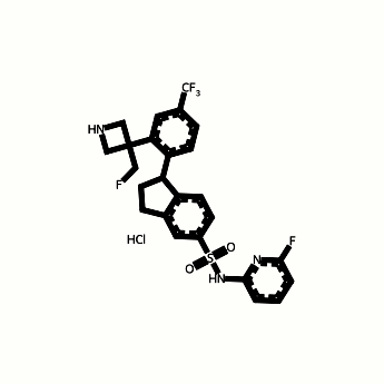 Cl.O=S(=O)(Nc1cccc(F)n1)c1ccc2c(c1)CCC2c1ccc(C(F)(F)F)cc1C1(CF)CNC1